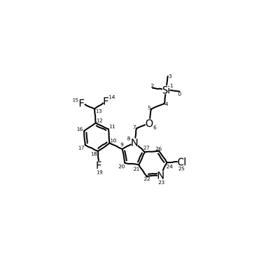 C[Si](C)(C)CCOCn1c(-c2cc(C(F)F)ccc2F)cc2cnc(Cl)cc21